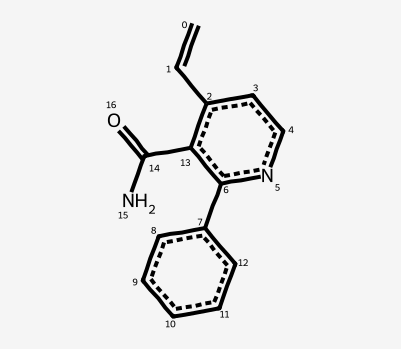 C=Cc1ccnc(-c2ccccc2)c1C(N)=O